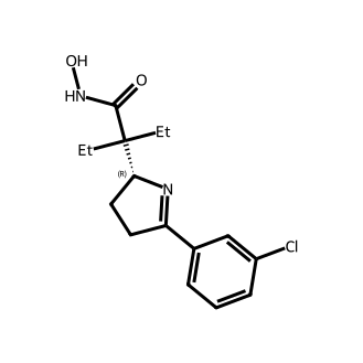 CCC(CC)(C(=O)NO)[C@H]1CCC(c2cccc(Cl)c2)=N1